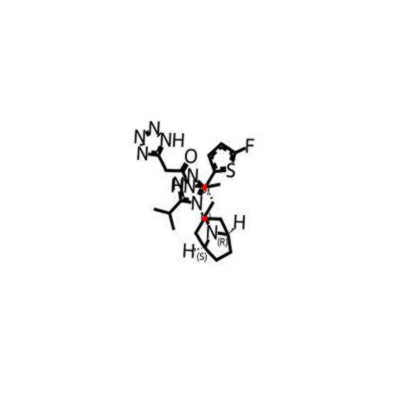 Cc1nnc(C(C)C)n1[C@@H]1C[C@H]2CC[C@@H](C1)N2CC[C@H](NC(=O)Cc1nnn[nH]1)c1ccc(F)s1